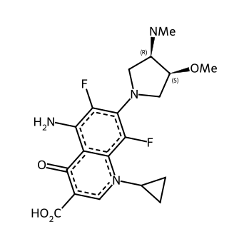 CN[C@@H]1CN(c2c(F)c(N)c3c(=O)c(C(=O)O)cn(C4CC4)c3c2F)C[C@@H]1OC